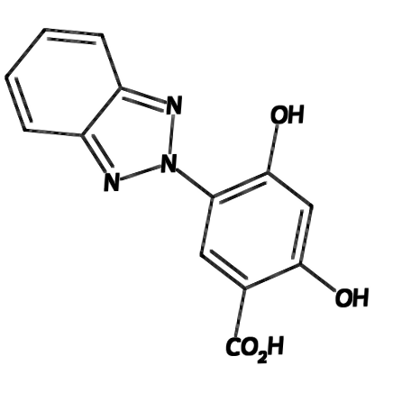 O=C(O)c1cc(-n2nc3ccccc3n2)c(O)cc1O